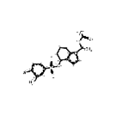 CC(=O)OC(C)n1ncc2c1CCCC2NS(=O)(=O)c1ccc(Br)c(C)c1